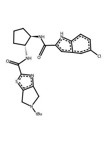 CC(C)(C)N1Cc2nc(C(=O)N[C@@H]3CCC[C@H]3NC(=O)c3cc4cc(Cl)ccc4[nH]3)sc2C1